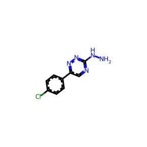 NNc1ncc(-c2ccc(Cl)cc2)nn1